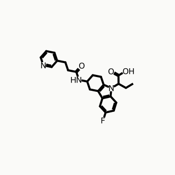 CCC(C(=O)O)n1c2c(c3cc(F)ccc31)CC(NC(=O)CCc1cccnc1)CC2